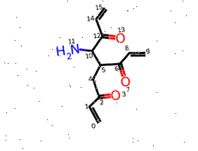 C=CC(=O)CC(C(=O)C=C)C(N)C(=O)C=C